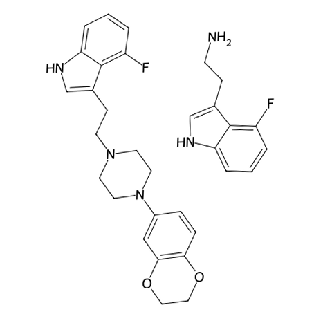 Fc1cccc2[nH]cc(CCN3CCN(c4ccc5c(c4)OCCO5)CC3)c12.NCCc1c[nH]c2cccc(F)c12